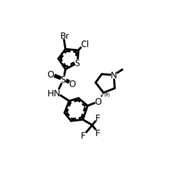 CN1CC[C@@H](Oc2cc(NS(=O)(=O)c3cc(Br)c(Cl)s3)ccc2C(F)(F)F)C1